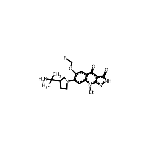 CCn1c2cc(N3CCC(C(C)(C)N)C3)c(OCF)cc2c(=O)c2c(=O)[nH]sc21